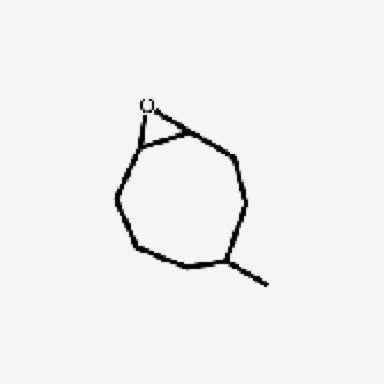 CC1CCCC2OC2CC1